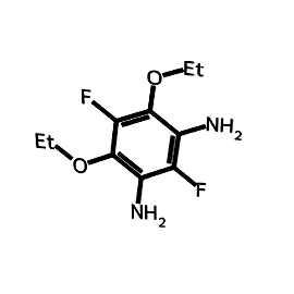 CCOc1c(N)c(F)c(N)c(OCC)c1F